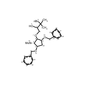 CCCCC(C)(C)C(O)CO[C@@H]1[C@@H](NC)[C@H](OCc2ccccc2)C[C@@H]1OCc1ccccc1